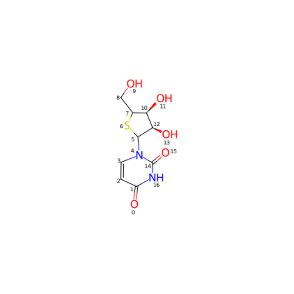 O=c1ccn(C2SC(CO)[C@@H](O)[C@H]2O)c(=O)[nH]1